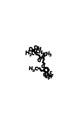 CCCc1c(OCCCN(C)C(=O)CCC(C)(C)C(=O)O)ccc2c(C(F)(F)F)noc12